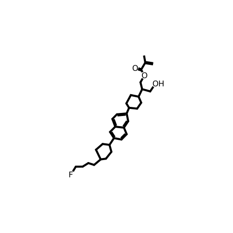 C=C(C)C(=O)OCC(CO)C1CCC(c2ccc3cc(C4CCC(CCCCF)CC4)ccc3c2)CC1